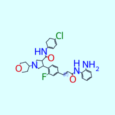 Nc1ccccc1NC(=O)/C=C/c1ccc(C2CN(C3CCOCC3)CC2C(=O)NC2=CC=C(Cl)CC2)c(F)c1